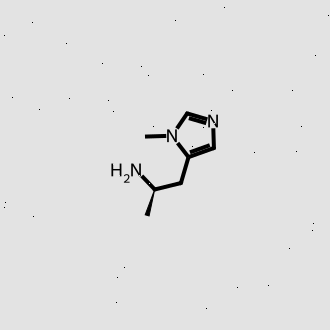 C[C@@H](N)Cc1cncn1C